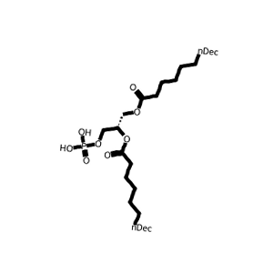 CCCCCCCCCCCCCCCC(=O)OC[C@@H](COP(=O)(O)O)OC(=O)CCCCCCCCCCCCCCC